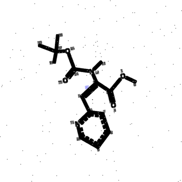 COC(=O)/C(=C\c1ccccn1)N(C)C(=O)OC(C)(C)C